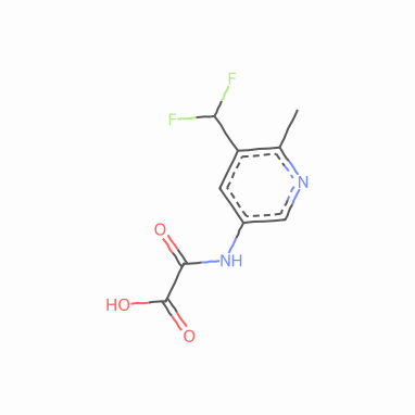 Cc1ncc(NC(=O)C(=O)O)cc1C(F)F